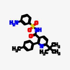 Cc1ccc(-c2nc(C(C)(C)C)ccc2C(=O)NS(=O)(=O)c2cccc(N)c2)cc1